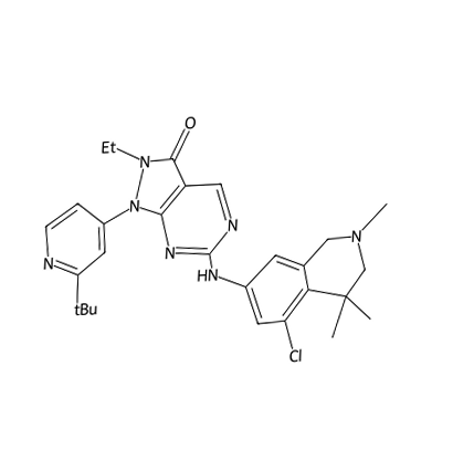 CCn1c(=O)c2cnc(Nc3cc(Cl)c4c(c3)CN(C)CC4(C)C)nc2n1-c1ccnc(C(C)(C)C)c1